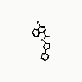 C[C@@H](NC1CCC(c2c[c]ccc2)C1)c1ccc(F)c2ccccc12